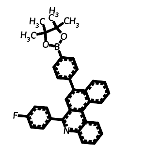 CC1(C)OB(c2ccc(-c3cc4c(-c5ccc(F)cc5)nc5ccccc5c4c4ccccc34)cc2)OC1(C)C